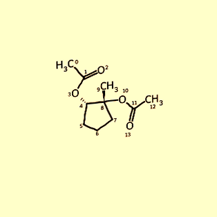 CC(=O)O[C@H]1CCC[C@@]1(C)OC(C)=O